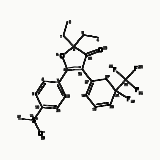 CCC1(CC)OC(c2ccc([S+](C)[O-])cc2)=C(C2=CC=CC(F)(C(F)(F)F)C2)C1=O